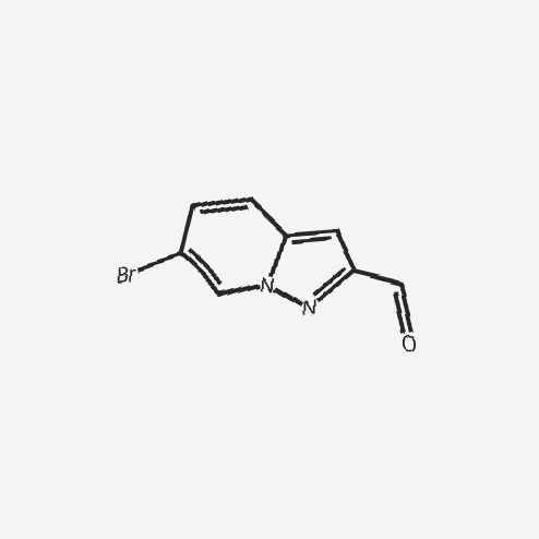 O=Cc1cc2ccc(Br)cn2n1